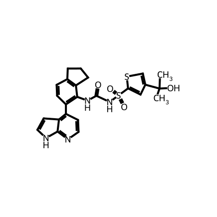 CC(C)(O)c1csc(S(=O)(=O)NC(=O)Nc2c(-c3ccnc4[nH]ccc34)ccc3c2CCC3)c1